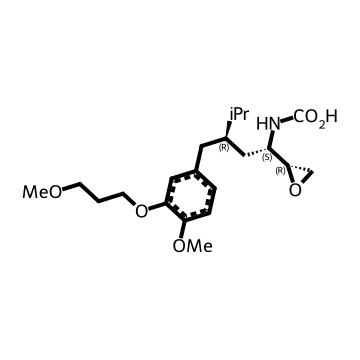 COCCCOc1cc(C[C@H](C[C@H](NC(=O)O)[C@@H]2CO2)C(C)C)ccc1OC